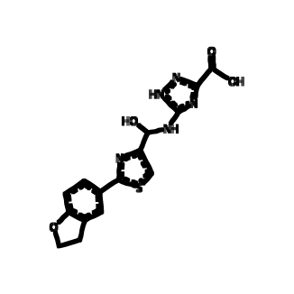 O=C(O)c1n[nH]c(NC(O)c2csc(-c3ccc4c(c3)CCO4)n2)n1